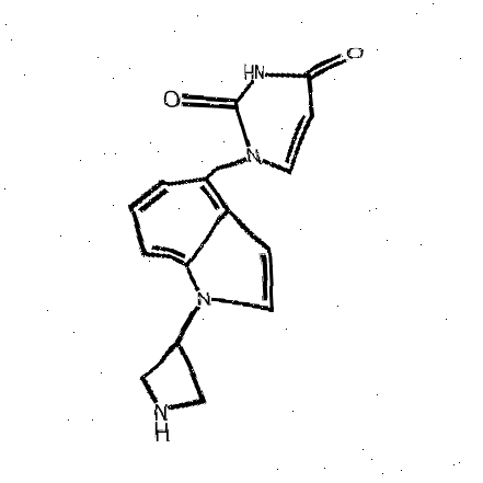 O=c1ccn(-c2cccc3c2ccn3C2CNC2)c(=O)[nH]1